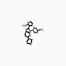 Nc1ncccc1-c1nc2ccc(-c3ccccc3)nc2n1N1CCC(N)CC1